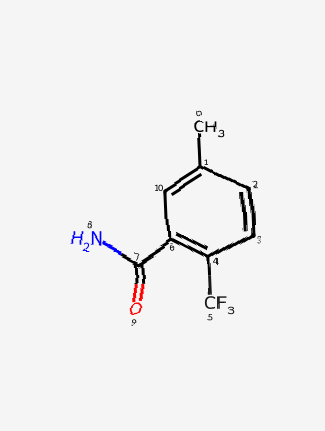 Cc1ccc(C(F)(F)F)c(C(N)=O)c1